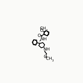 COCCN[C@H]1CC[C@@](CNC(=O)c2ccccc2OC)(c2ccccc2)CC1